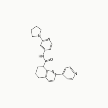 O=C(Nc1ccnc(N2CCCC2)c1)C1CCCc2ccc(-c3ccncc3)nc21